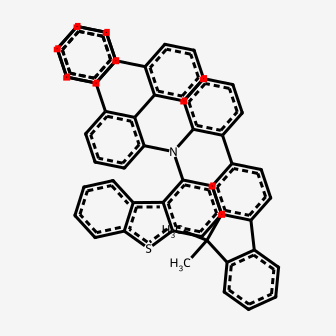 CC1(C)c2ccccc2-c2ccc(-c3ccccc3N(c3cccc(-c4ccccc4)c3-c3ccccc3-c3ccccc3)c3cccc4sc5ccccc5c34)cc21